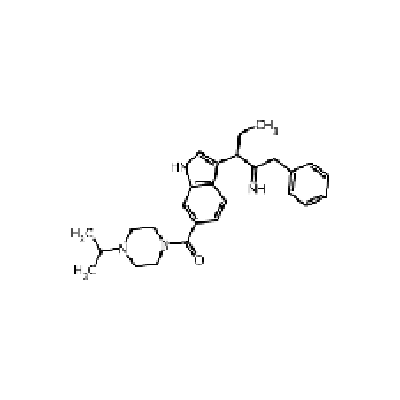 CCC(C(=N)Cc1ccccc1)c1c[nH]c2cc(C(=O)N3CCN(C(C)C)CC3)ccc12